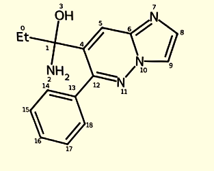 CCC(N)(O)c1cc2nccn2nc1-c1ccccc1